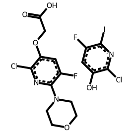 O=C(O)COc1cc(F)c(N2CCOCC2)nc1Cl.Oc1cc(F)c(I)nc1Cl